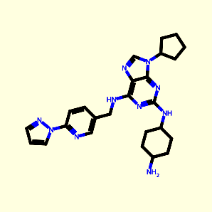 NC1CCC(Nc2nc(NCc3ccc(-n4cccn4)nc3)c3ncn(C4CCCC4)c3n2)CC1